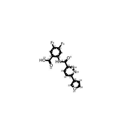 O=C(Nc1cc(F)c(F)cc1C(=O)O)c1ccc(-c2ccoc2)nn1